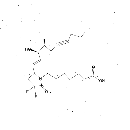 CCCC#CC[C@H](C)[C@H](O)C=CC1CC(F)(F)C(=O)N1CCCCCCC(=O)O